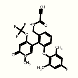 C#CC(=O)NCc1cccc(Oc2c(C)cc(F)cc2C)c1-c1cn(C)c(=O)cc1OC(F)(F)F